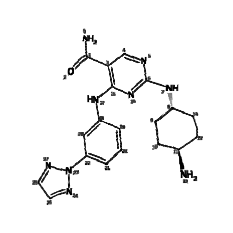 NC(=O)c1cnc(N[C@H]2CC[C@H](N)CC2)nc1Nc1cccc(-n2nccn2)c1